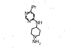 CC(C)c1cc(NC2CCN(N)CC2)ncn1